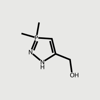 CP1(C)=NNC(CO)=C1